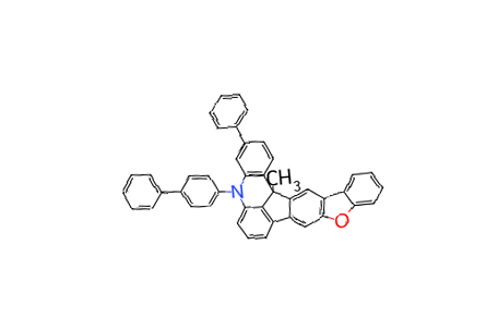 CC12c3cc4c(cc3-c3cccc(c31)N(c1ccc(-c3ccccc3)cc1)c1cc(-c3ccccc3)ccc12)oc1ccccc14